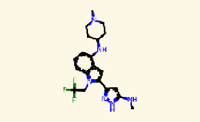 CNc1cc(-c2cc3c(NC4CCN(C)CC4)cccc3n2CC(F)(F)F)n[nH]1